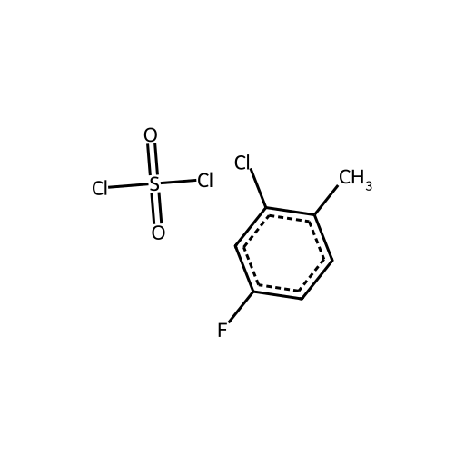 Cc1ccc(F)cc1Cl.O=S(=O)(Cl)Cl